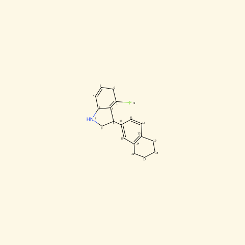 FC1=C2C(C=CC1)NCC2c1ccc2c(c1)CCCC2